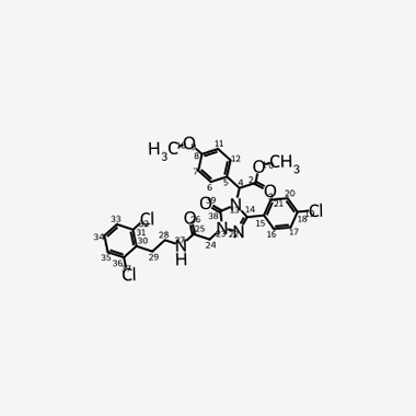 COC(=O)C(c1ccc(OC)cc1)n1c(-c2ccc(Cl)cc2)nn(CC(=O)NCCc2c(Cl)cccc2Cl)c1=O